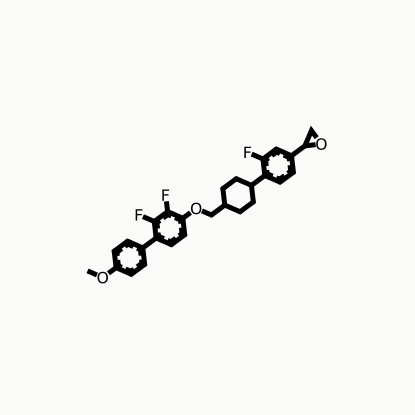 COc1ccc(-c2ccc(OCC3CCC(c4ccc(C5CO5)cc4F)CC3)c(F)c2F)cc1